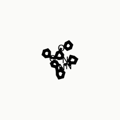 c1ccc(Oc2cc(Oc3ccccc3)cc(-n3c(-n4c5ccccc5c5ccccc54)nc4ccccc43)c2)cc1